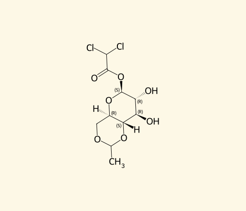 CC1OC[C@H]2O[C@@H](OC(=O)C(Cl)Cl)[C@H](O)[C@@H](O)[C@@H]2O1